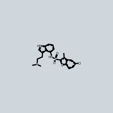 Cc1c(S(=O)(=O)Nc2cccc3[nH]cc(CCN(C)C)c23)sc2ccc(Cl)cc12